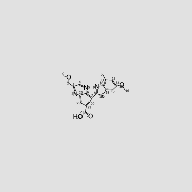 COCc1cnc2c(-c3nc4c(C)cc(OC)cc4s3)cc(C(=O)O)cc2n1